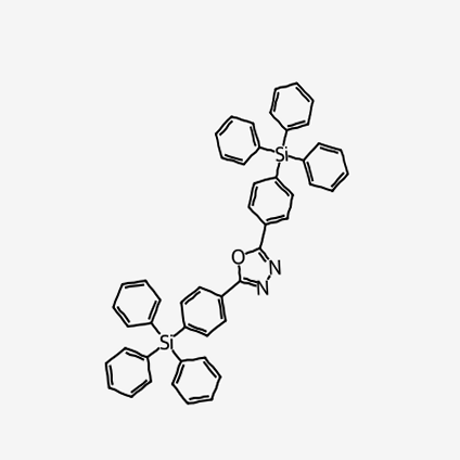 c1ccc([Si](c2ccccc2)(c2ccccc2)c2ccc(-c3nnc(-c4ccc([Si](c5ccccc5)(c5ccccc5)c5ccccc5)cc4)o3)cc2)cc1